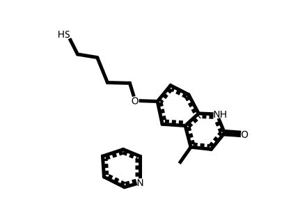 Cc1cc(=O)[nH]c2ccc(OCCCCS)cc12.c1ccncc1